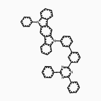 c1ccc(-c2nc(-c3ccccc3)nc(-c3cccc(-c4cccc(-n5c6ccccc6c6cc7c(cc65)c5ccccc5n7-c5ccccc5)c4)c3)n2)cc1